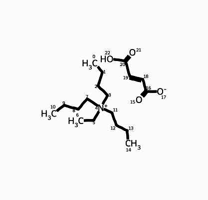 CCCC[N+](CC)(CCCC)CCCC.O=C([O-])C=CC(=O)O